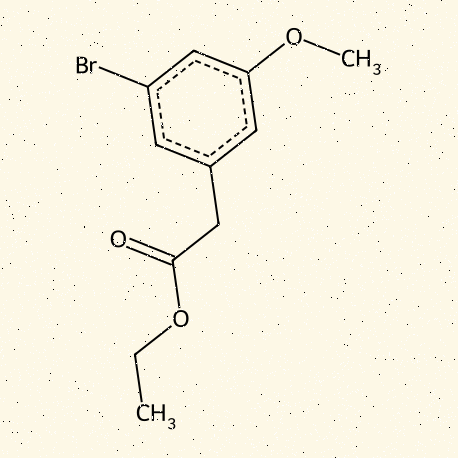 CCOC(=O)Cc1cc(Br)cc(OC)c1